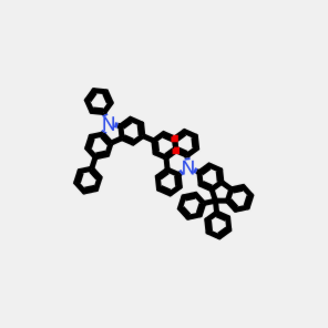 c1ccc(-c2ccc3c(c2)c2cc(-c4cccc(-c5ccccc5N(c5ccccc5)c5ccc6c(c5)C(c5ccccc5)(c5ccccc5)c5ccccc5-6)c4)ccc2n3-c2ccccc2)cc1